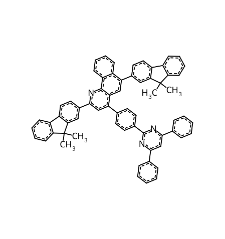 CC1(C)c2ccccc2-c2ccc(-c3cc(-c4ccc(-c5nc(-c6ccccc6)cc(-c6ccccc6)n5)cc4)c4cc(-c5ccc6c(c5)C(C)(C)c5ccccc5-6)c5ccccc5c4n3)cc21